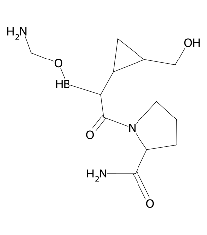 NCOBC(C(=O)N1CCCC1C(N)=O)C1CC1CO